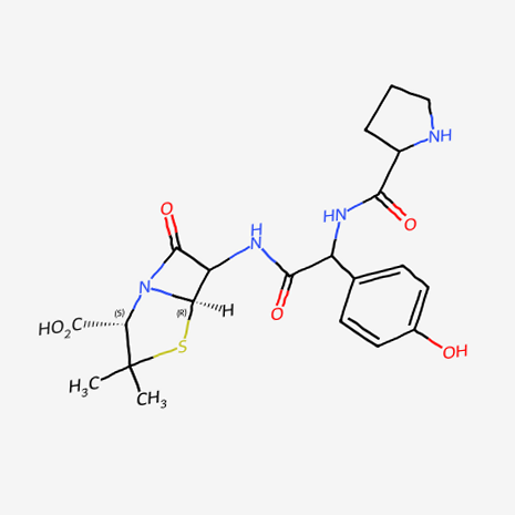 CC1(C)S[C@@H]2C(NC(=O)C(NC(=O)C3CCCN3)c3ccc(O)cc3)C(=O)N2[C@H]1C(=O)O